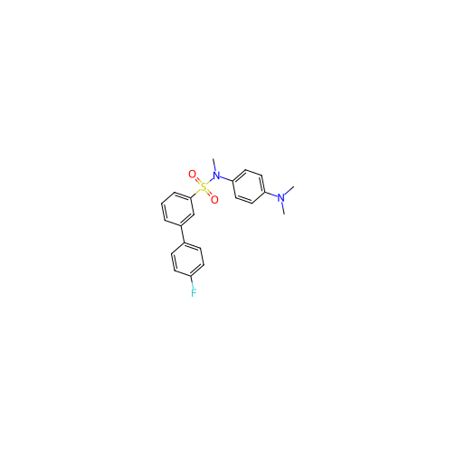 CN(C)c1ccc(N(C)S(=O)(=O)c2cccc(-c3ccc(F)cc3)c2)cc1